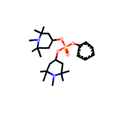 CN1C(C)(C)CC(OP(=O)(Oc2ccccc2)OC2CC(C)(C)N(C)C(C)(C)C2)CC1(C)C